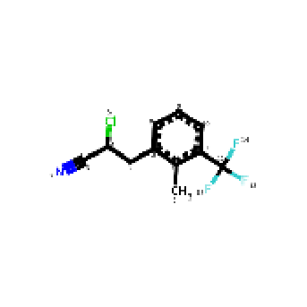 Cc1c(CC(Cl)C#N)cccc1C(F)(F)F